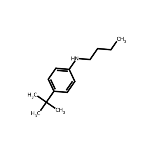 CCCCNc1ccc(C(C)(C)C)cc1